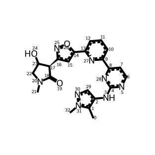 Cc1c(Nc2nccc(-c3cccc(-c4cc([C@H]5C(=O)N(C)CC5O)no4)n3)n2)cnn1C